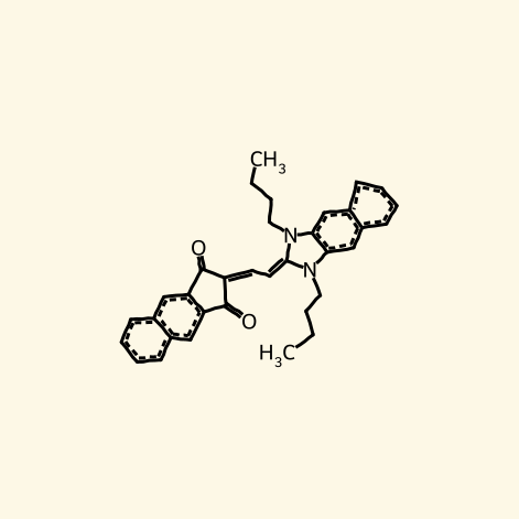 CCCCN1C(=CC=C2C(=O)c3cc4ccccc4cc3C2=O)N(CCCC)c2cc3ccccc3cc21